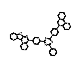 c1ccc(-c2nc(-c3ccc(-c4cc5ccccc5c5ccccc45)cc3)nc(-c3ccc(-c4nc5oc6ccccc6c5c5ccccc45)cc3)n2)cc1